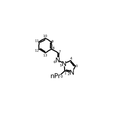 CCCc1nccn1/N=C/c1ccccc1